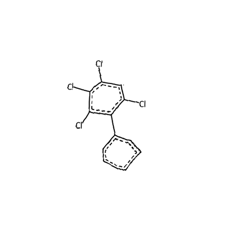 Clc1[c]c(Cl)c(-c2ccccc2)c(Cl)c1Cl